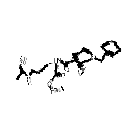 CC(=N)NCCC[C@H](NC(=O)c1cccn(Cc2ccccc2)c1=O)C(=O)OC(C)(C)C